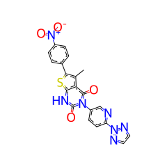 Cc1c(-c2ccc([N+](=O)[O-])cc2)sc2[nH]c(=O)n(-c3ccc(-n4nccn4)nc3)c(=O)c12